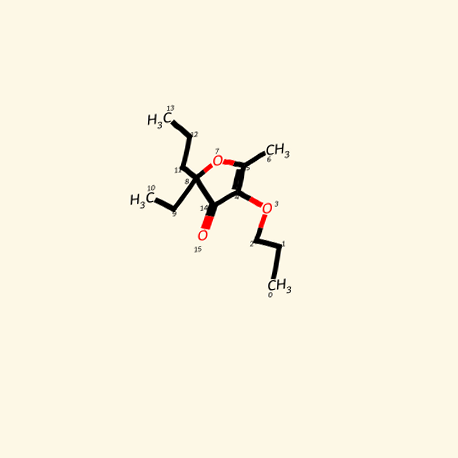 CCCOC1=C(C)OC(CC)(CCC)C1=O